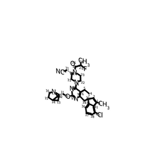 CC1=C[C@@]2(CCc3c(nc(OC[C@@H]4CC5CCN4C5)nc3N3CCN(C(=O)C(C)F)[C@@H](CC#N)C3)C2)c2cccc(Cl)c21